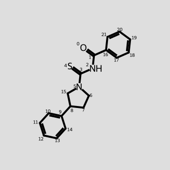 O=C(NC(=S)N1CCC(c2ccccc2)C1)c1ccccc1